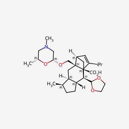 CC(C)C1=C[C@H]2C[C@]3(C4OCCO4)[C@@H]4CC[C@@H](C)[C@H]4C[C@@]2(CO[C@H]2CN(C)C[C@@H](C)O2)[C@]13C(=O)O